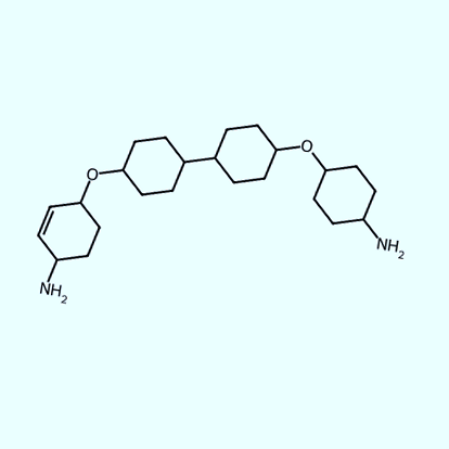 NC1C=CC(OC2CCC(C3CCC(OC4CCC(N)CC4)CC3)CC2)CC1